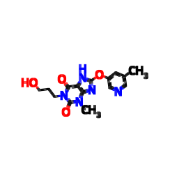 Cc1cncc(Oc2nc3c([nH]2)c(=O)n(CCCO)c(=O)n3C)c1